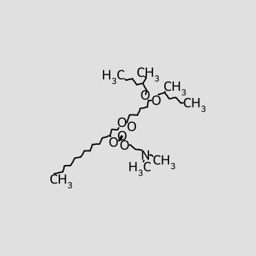 CCCCCCCCCCCCC(CCOC(=O)CCCCC(OCC(C)CCCC)OCC(CC)CCCC)OC(=O)OCCCN(CC)CC